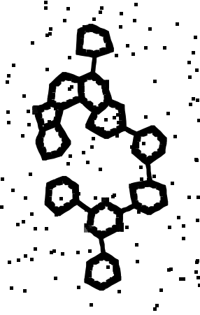 c1ccc(-c2nc(-c3ccccc3)nc(-c3cccc(-c4cccc(-c5ccc6c(c5)nc(-c5ccccc5)c5ccc7sc8ccccc8c7c56)c4)c3)n2)cc1